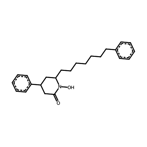 O=C1CC(c2ccccc2)CC(CCCCCCCc2ccccc2)N1O